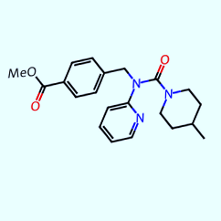 COC(=O)c1ccc(CN(C(=O)N2CCC(C)CC2)c2ccccn2)cc1